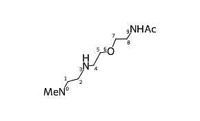 CNCCNCCOCCNC(C)=O